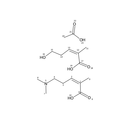 CC(=CCCN(C)C)C(=O)O.CC(=CCCO)C(=O)O.CC(=O)O